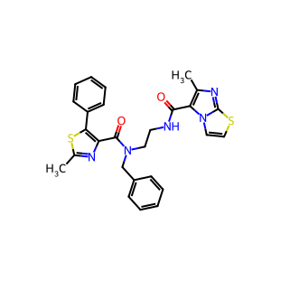 Cc1nc(C(=O)N(CCNC(=O)c2c(C)nc3sccn23)Cc2ccccc2)c(-c2ccccc2)s1